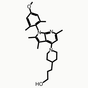 COc1cc(C)c(-n2c(C)c(C)c3c(N4CCC(CCCO)CC4)cc(C)nc32)c(C)c1